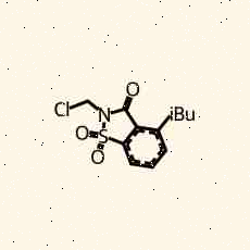 CCC(C)c1cccc2c1C(=O)N(CCl)S2(=O)=O